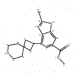 COC(=O)c1cc(C2CC3(CCOCC3)C2)c2nc(Br)sc2c1